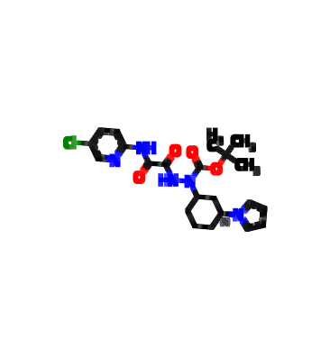 CC(C)(C)OC(=O)N(NC(=O)C(=O)Nc1ccc(Cl)cn1)C1CCC[C@H](n2cccc2)C1